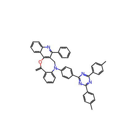 C=C1Oc2c(c(-c3ccccc3)nc3ccccc23)CN(c2ccc(-c3nc(-c4ccc(C)cc4)nc(-c4ccc(C)cc4)n3)cc2)c2ccccc21